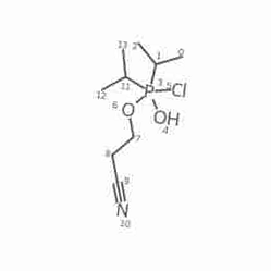 CC(C)P(O)(Cl)(OCCC#N)C(C)C